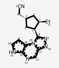 CC[C@@H]1C[C@@H](CC#N)C[C@@H]1c1nnc2cnc3[nH]ccc3n12